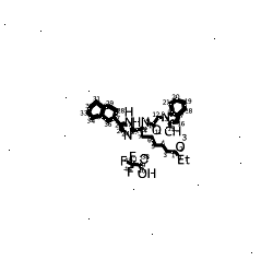 CCC(=O)CCCCC[C@H](NC(=O)Cn1c(C)cc2ccccc21)c1ncc(-c2ccc3ccccc3c2)[nH]1.O=C(O)C(F)(F)F